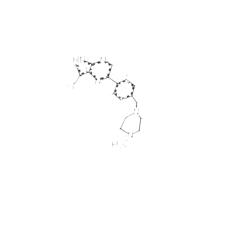 CN1CCN(Cc2ccc(-c3cnc4[nH]cc(I)c4n3)cc2)CC1